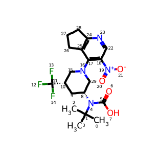 CC(C)(C)N(C(=O)O)[C@@H]1C[C@H](C(F)(F)F)CN(c2c([N+](=O)[O-])cnc3c2CCC3)C1